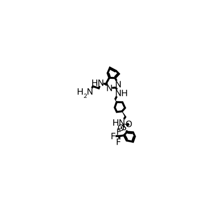 NCCNc1nc(NC[C@H]2CC[C@H](CNS(=O)(=O)c3ccccc3C(F)(F)F)CC2)nc2ccccc12